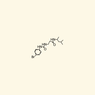 CC(C)CC(C)NC(=O)CCNC(=O)Nc1ccc(Br)cc1